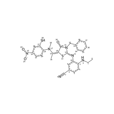 CCNc1ccc(C#N)cc1N=C1S/C(=C(\C)N(C)c2ccc([N+](=O)[O-])cc2S)C(=O)N1Cc1ccccc1